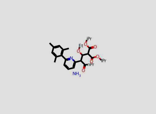 CCCC(=O)C(c1cccc(-c2c(C)cc(C)cc2C)n1)C(OCC)C(C(=O)OC(C)C)C(=O)OC(C)C.N